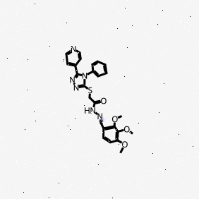 COc1ccc(/C=N/NC(=O)CSc2nnc(-c3ccncc3)n2-c2ccccc2)c(OC)c1OC